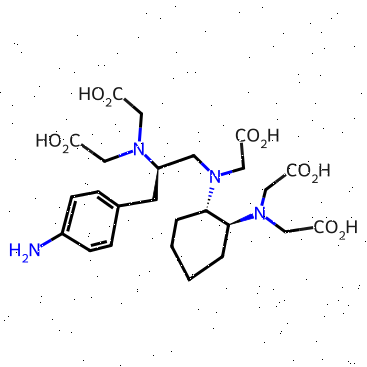 Nc1ccc(C[C@H](CN(CC(=O)O)[C@H]2CCCC[C@@H]2N(CC(=O)O)CC(=O)O)N(CC(=O)O)CC(=O)O)cc1